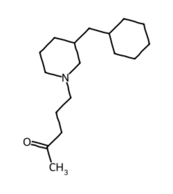 CC(=O)CCCN1CCCC(CC2CCCCC2)C1